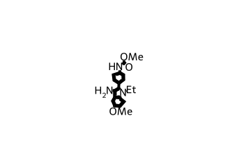 CCn1c(-c2ccc(NC(=O)OC)cc2)c(N)c2cc(OC)ccc21